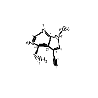 C#Cc1cn(C(C)(C)C)c2ncnc(N)c12